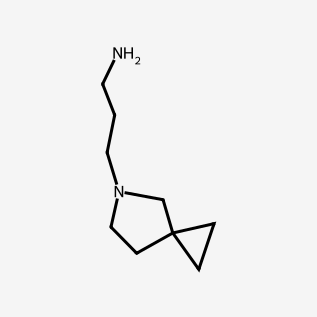 NCCCN1CCC2(CC2)C1